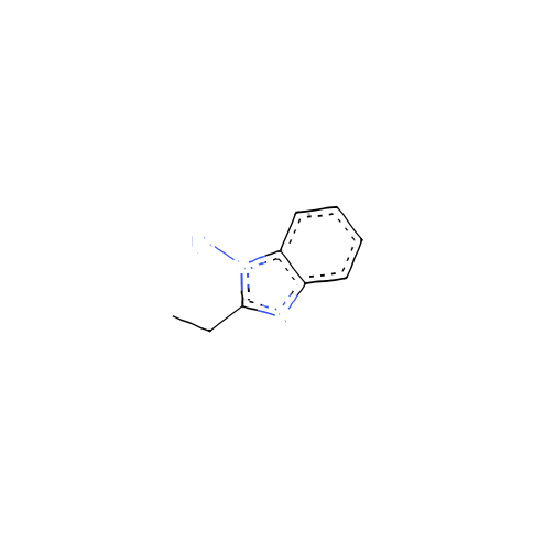 CCc1nc2ccccc2n1N